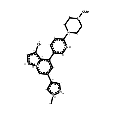 CSN1CCN(c2ccc(-c3cc(-c4cnn(C)c4)cn4ncc(C#N)c34)cn2)CC1